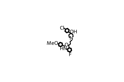 COc1ccc(CNc2cc(F)ccc2C(=O)CCCN2CCC(O)(c3ccc(Cl)cc3)CC2)cc1